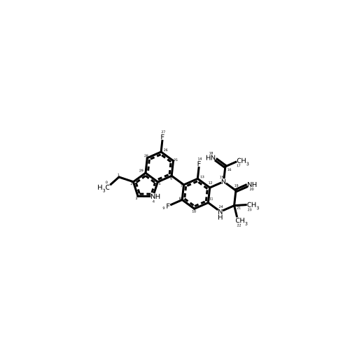 CCc1c[nH]c2c(-c3c(F)cc4c(c3F)N(C(C)=N)C(=N)C(C)(C)N4)cc(F)cc12